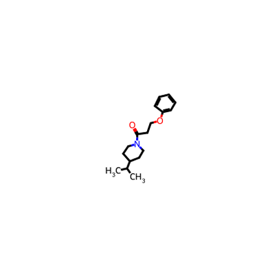 CC(C)C1CCN(C(=O)CCOc2ccccc2)CC1